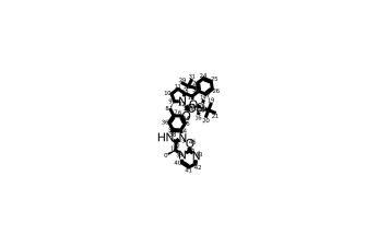 C[C@@H](c1nc2ccc(C[C@@H]3CC[C@]([C@H](O[Si](C)(C)C(C)(C)C)c4ccccc4)(C(C)(C)C)N3C(=O)O)cc2[nH]1)n1cccnc1=O